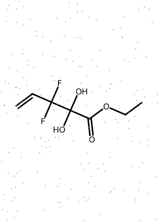 C=CC(F)(F)C(O)(O)C(=O)OCC